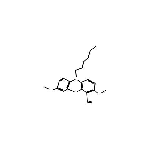 CCCCCCN1c2ccc(OC)cc2Sc2c1ccc(OC)c2C=O